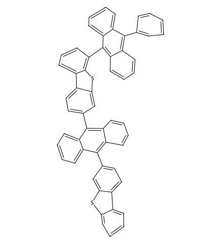 c1ccc(-c2c3ccccc3c(-c3cccc4c3sc3cc(-c5c6ccccc6c(-c6ccc7c(c6)sc6ccccc67)c6ccccc56)ccc34)c3ccccc23)cc1